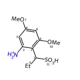 CCC(c1c(N)cc(OC)cc1OC)S(=O)(=O)O